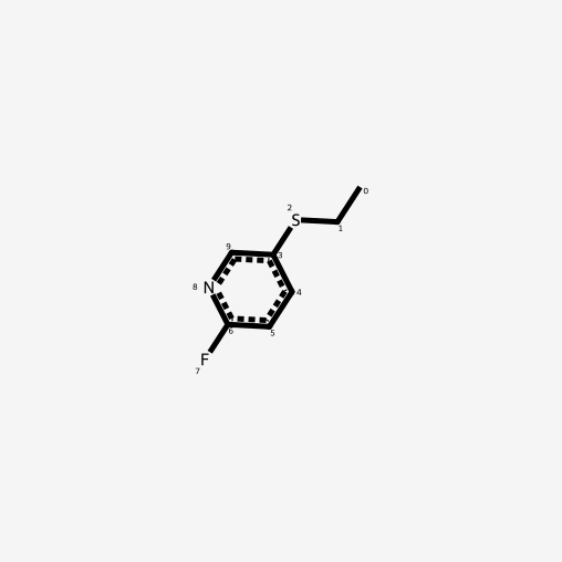 CCSc1ccc(F)nc1